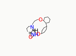 C1CCC2C3CCC(CC3)OC[C@H]3N(CCCOC2C1)CCC[C@]31COCCN1